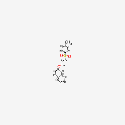 Cc1ccc(S(=O)(=O)CCCOc2ccc3ccccc3c2)cc1